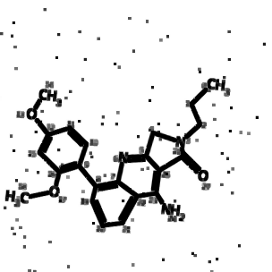 CCCN1Cc2nc3c(-c4ccc(OC)cc4OC)cccc3c(N)c2C1=O